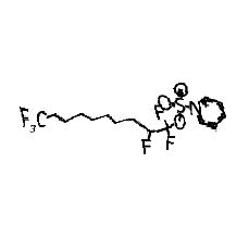 O=S(=O)(OC(F)(F)C(F)CCCCCCCC(F)(F)F)[n+]1ccccc1